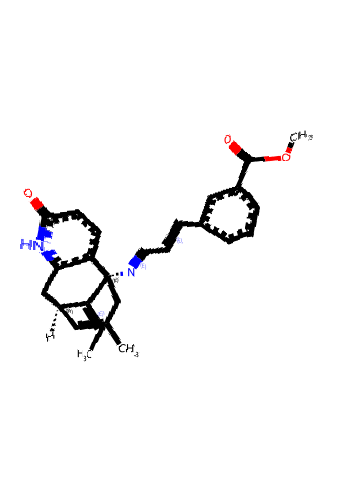 C/C=C1\[C@H]2C=C(C)C[C@]1(/N=C/C=C/c1cccc(C(=O)OC)c1)c1ccc(=O)[nH]c1C2